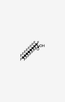 O=S(O)C(F)(F)C(F)(F)C(F)(F)C(F)(F)C(F)(F)C(F)(F)C(F)(F)C(F)(F)F